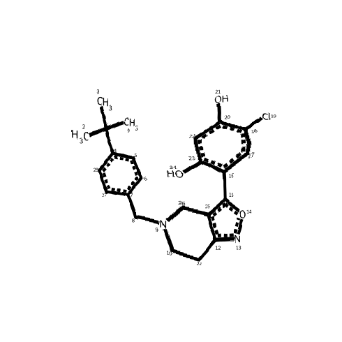 CC(C)(C)c1ccc(CN2CCc3noc(-c4cc(Cl)c(O)cc4O)c3C2)cc1